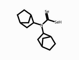 [Se]=C([SeH])N(C1CC2CCC1C2)C1CC2CCC1C2